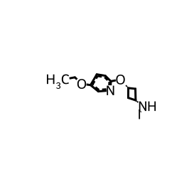 CCOc1ccc(O[C@H]2C[C@@H](NI)C2)nc1